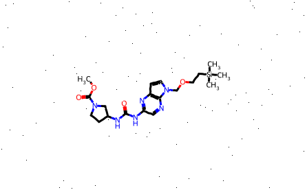 COC(=O)N1CCC(NC(=O)Nc2cnc3c(ccn3COCC[Si](C)(C)C)n2)C1